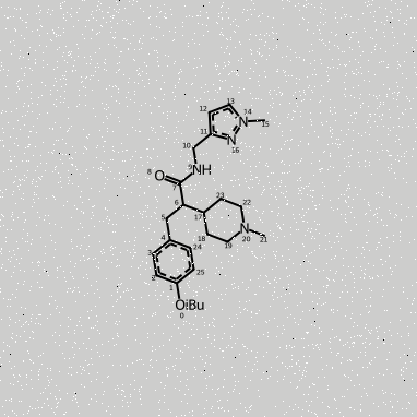 CC(C)COc1ccc(CC(C(=O)NCc2ccn(C)n2)C2CCN(C)CC2)cc1